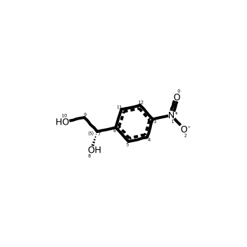 O=[N+]([O-])c1ccc([C@H](O)CO)cc1